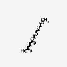 COCCOCCOCCOC(=O)CCCC(=O)O